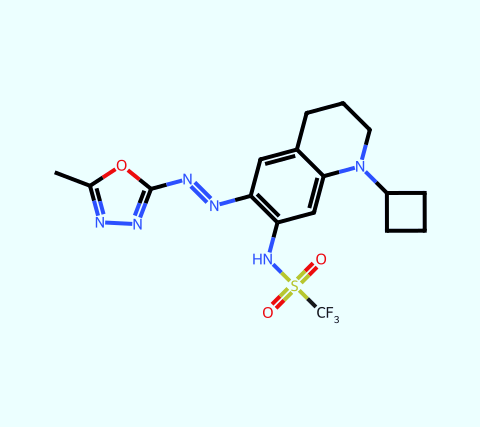 Cc1nnc(N=Nc2cc3c(cc2NS(=O)(=O)C(F)(F)F)N(C2CCC2)CCC3)o1